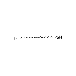 SCCCCCCCCCCCCCCCCCCCCCCCCCCCCCCCI